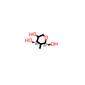 CC1[C@H](CO)C(O)CO[C@@H]1CO